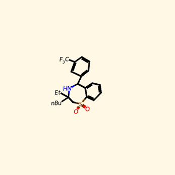 CCCCC1(CC)CS(=O)(=O)c2ccccc2C(c2cccc(C(F)(F)F)c2)N1